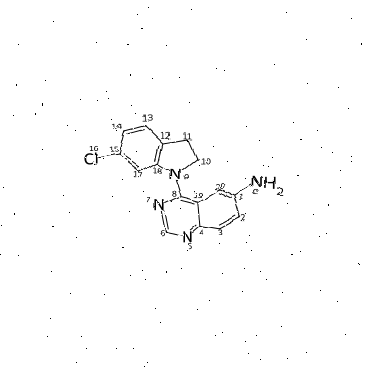 Nc1ccc2ncnc(N3CCc4ccc(Cl)cc43)c2c1